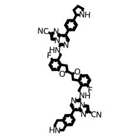 N#Cc1cn2c(NCc3c(F)ccc4c3CC(C3Cc5c(ccc(F)c5CNc5ncc(-c6ccc7c(c6)CCNC7)c6nc(C#N)cn56)O3)O4)ncc(-c3ccc(C4CCCN4)cc3)c2n1